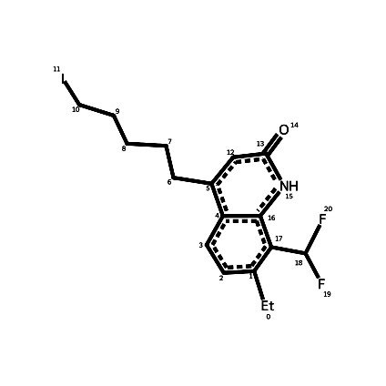 CCc1ccc2c(CCCCCI)cc(=O)[nH]c2c1C(F)F